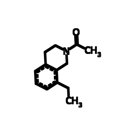 CCc1cccc2c1CN(C(C)=O)CC2